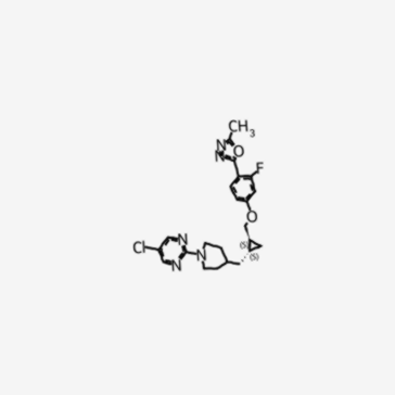 Cc1nnc(-c2ccc(OC[C@H]3C[C@@H]3CC3CCN(c4ncc(Cl)cn4)CC3)cc2F)o1